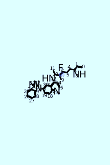 C=CC(=N)CC/C(F)=C(\C)C(C)Nc1ccnc2ccc(-n3nnc4ccccc43)cc12